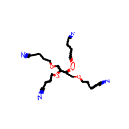 N#CCCCOCC(OCCCC#N)C(COCCCC#N)OCCCC#N